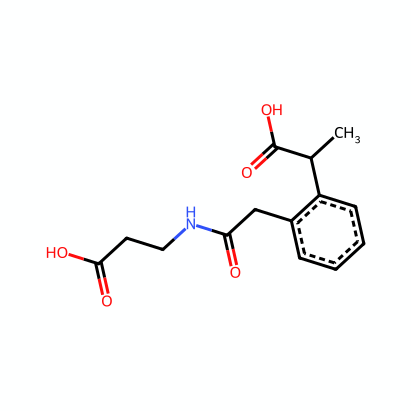 CC(C(=O)O)c1ccccc1CC(=O)NCCC(=O)O